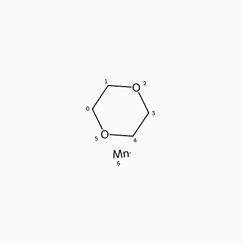 C1COCCO1.[Mn]